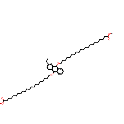 CCc1ccc2c(OCCCCCCCCCCCCCCCCCCCCC(=O)OC)c3ccccc3c(OCCCCCCCCCCCCCCCCCCCCC(=O)OC)c2c1